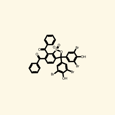 O=C(c1ccccc1)c1ccc2c(c1C(=O)c1ccccc1)S(=O)(=O)OC2(c1cc(Br)c(O)c(Br)c1)c1cc(Br)c(O)c(Br)c1